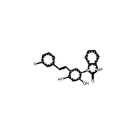 O=c1[nH]c2ccccc2n1-c1cc(/C=C/c2cccc(F)c2)c(O)cc1O